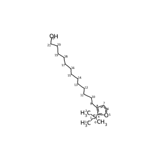 C[Si](C)(C)c1occc1CCCCCCCCCCCCCO